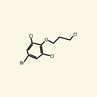 ClCCCOc1c(Cl)cc(Br)cc1Cl